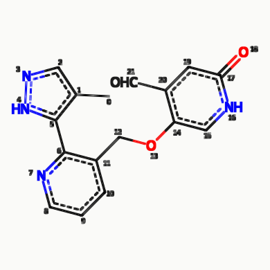 Cc1cn[nH]c1-c1ncccc1COc1c[nH]c(=O)cc1C=O